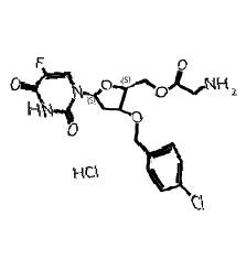 Cl.NCC(=O)OC[C@@H]1O[C@H](n2cc(F)c(=O)[nH]c2=O)CC1OCc1ccc(Cl)cc1